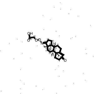 C[C@]12CCC(=O)C=C1CC[C@@H]1[C@@H]2CC[C@]2(C)C(=NOOCC(=O)O)CC[C@@H]12